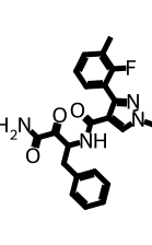 Cc1cccc(-c2nn(C)cc2C(=O)NC(Cc2ccccc2)C(=O)C(N)=O)c1F